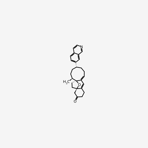 C[C@H]1CC[C@H](c2ccc3ccncc3c2)CC/C=C2/C=C3CCC(=O)C[C@]34CC[C@@]21O4